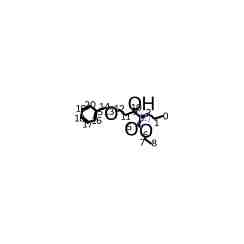 CC/C=C(\C(=O)OCC)C(O)CCOCc1ccccc1